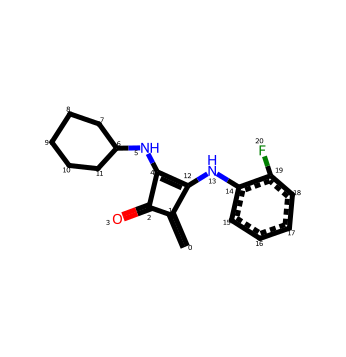 C=C1C(=O)C(NC2CCCCC2)=C1Nc1ccccc1F